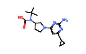 CC(C)(C)N(C(=O)O)C1CCN(c2cc(C3CC3)nc(N)n2)C1